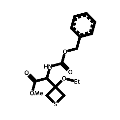 CCOC1(C(NC(=O)OCc2ccccc2)C(=O)OC)CSC1